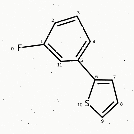 Fc1cccc(-c2cccs2)c1